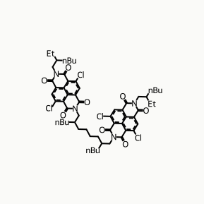 CCCCC(CC)CN1C(=O)c2cc(Cl)c3c4c(c(Cl)cc(c24)C1=O)C(=O)N(CC(CCCC)CCCCC(CCCC)CN1C(=O)c2cc(Cl)c4c5c(cc(Cl)c(c25)C1=O)C(=O)N(CC(CC)CCCC)C4=O)C3=O